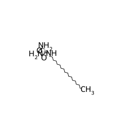 CCCCCCCCCCCCCCCCCCN[C@@H](CC(N)=O)C(N)=O